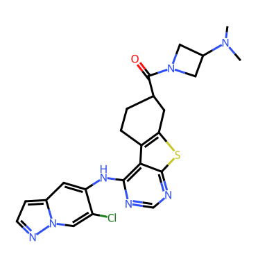 CN(C)C1CN(C(=O)C2CCc3c(sc4ncnc(Nc5cc6ccnn6cc5Cl)c34)C2)C1